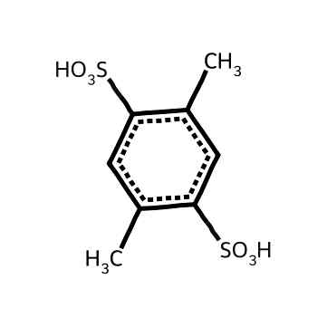 Cc1cc(S(=O)(=O)O)c(C)cc1S(=O)(=O)O